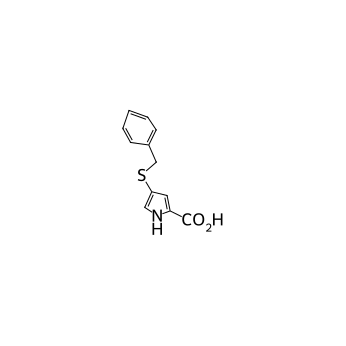 O=C(O)c1cc(SCc2ccccc2)c[nH]1